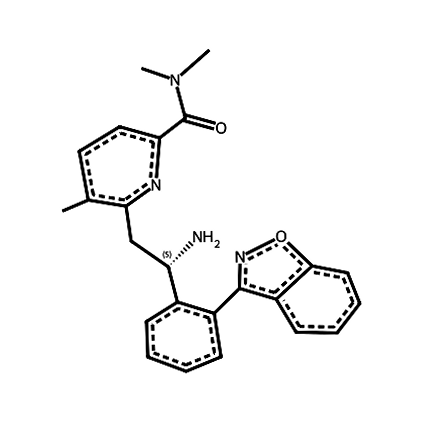 Cc1ccc(C(=O)N(C)C)nc1C[C@H](N)c1ccccc1-c1noc2ccccc12